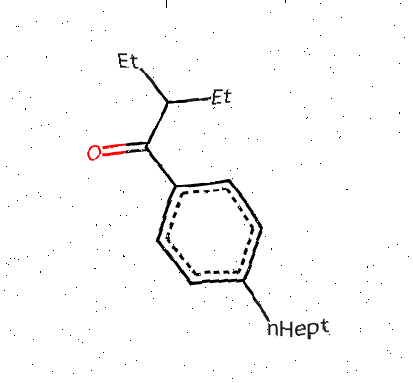 CCCCCCCc1ccc(C(=O)C(CC)CC)cc1